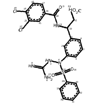 N=C(N)NN(c1cccc(C(CC(=O)O)NC(=O)c2ccc(Cl)c(Cl)c2)c1)S(=O)(=O)c1ccccc1